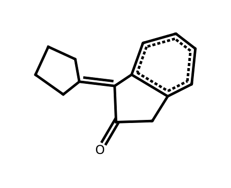 O=C1Cc2ccccc2C1=C1CCCC1